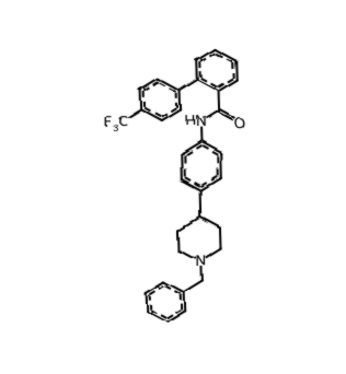 O=C(Nc1ccc(C2CCN(Cc3ccccc3)CC2)cc1)c1ccccc1-c1ccc(C(F)(F)F)cc1